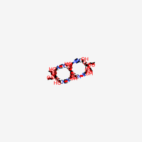 OC1COCC2(COCC(O)CN3CCN(CC3)CC(O)COCC(COCC3CO3)(COCC3CO3)COCC(O)CN3CCN(CC3)C1)COCC(O)CN1CCN(CC1)CC(O)COCC(COCC1CO1)(COCC1CO1)COCC(O)CN1CCN(CC1)CC(O)COC2